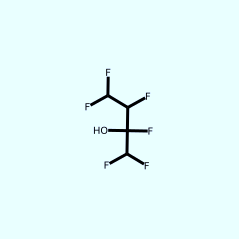 OC(F)(C(F)F)C(F)C(F)F